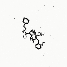 Cc1nc2c(C(=O)N(C)CCc3ccccc3)cnn2c(O)c1Cc1ccccc1F